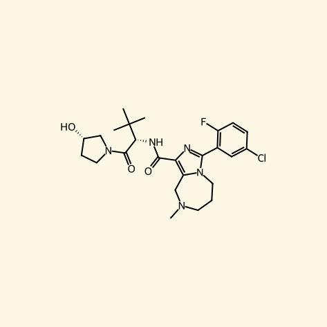 CN1CCCn2c(-c3cc(Cl)ccc3F)nc(C(=O)N[C@H](C(=O)N3CC[C@H](O)C3)C(C)(C)C)c2C1